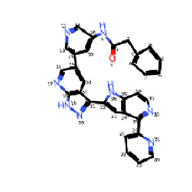 O=C(Cc1ccccc1)Nc1cncc(-c2cnc3[nH]nc(-c4cc5c(-c6ccccn6)nccc5[nH]4)c3c2)c1